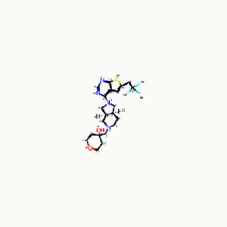 OC1(CN2CC[C@@H]3CN(c4ncnc5sc(CC(F)(F)F)cc45)C[C@@H]3C2)CCOCC1